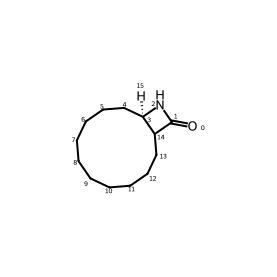 O=C1N[C@@H]2CCCCCCCCCCC12